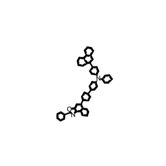 c1ccc(-c2nc3c(cc(-c4ccc(-c5ccc(N(c6ccccc6)c6ccc(-c7cc8ccccc8c8ccccc78)cc6)cc5)cc4)c4ccccc43)o2)cc1